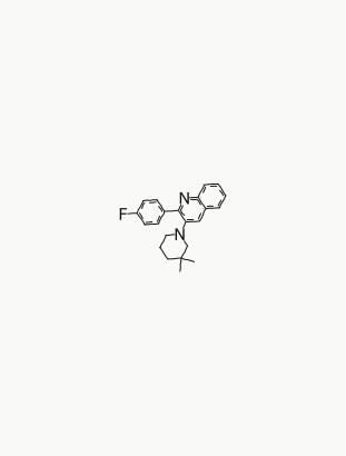 CC1(C)CCCN(c2cc3ccccc3nc2-c2ccc(F)cc2)C1